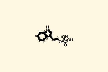 O=P(O)(O)O/C=C/c1c[nH]c2ccccc12